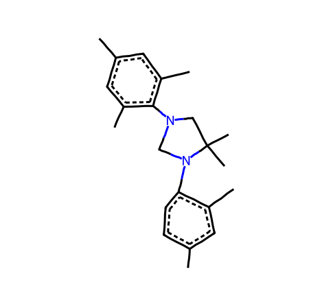 Cc1ccc(N2CN(c3c(C)cc(C)cc3C)CC2(C)C)c(C)c1